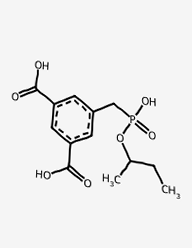 CCC(C)OP(=O)(O)Cc1cc(C(=O)O)cc(C(=O)O)c1